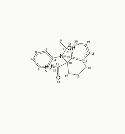 CC(O)N(c1ccccc1)C1(C(N)=O)CCCc2ccccc21